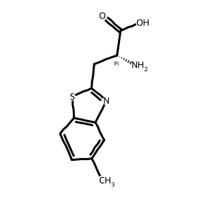 Cc1ccc2sc(C[C@@H](N)C(=O)O)nc2c1